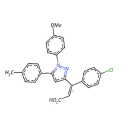 COc1ccc(-n2nc(/C(=C\C(=O)O)c3ccc(Cl)cc3)cc2-c2ccc(C)cc2)cc1